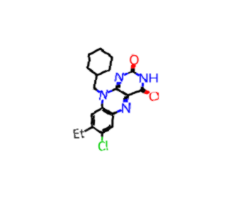 CCc1cc2c(cc1Cl)nc1c(=O)[nH]c(=O)nc-1n2CC1CCCCC1